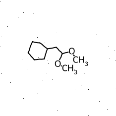 COC(CC1CCCCC1)OC